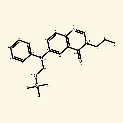 CCCn1cnc2ccc(N(CO[Si](C)(C)C)c3ccccc3)cc2c1=O